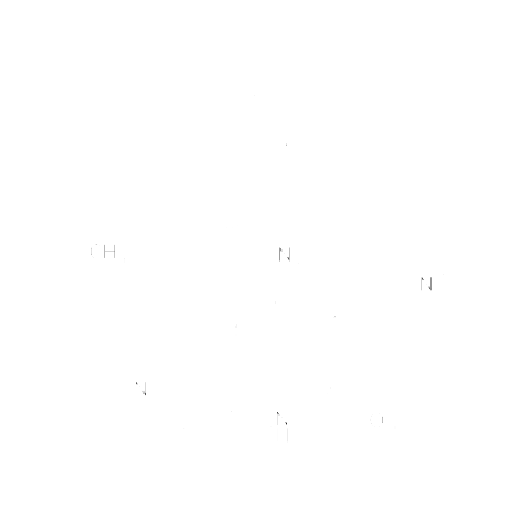 CCc1cc2c(N3CCC4(CC3)CC4)c(C#N)c(=O)[nH]c2cn1